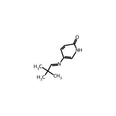 CC(C)(C)/C=N/c1ccc(=O)[nH]c1